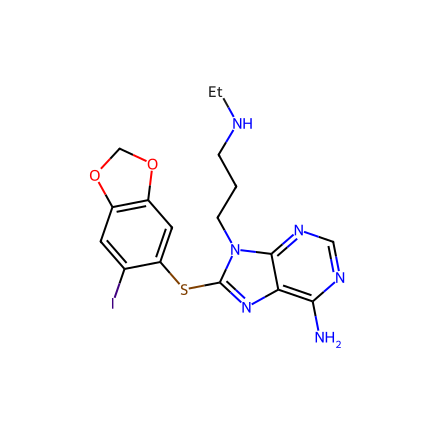 CCNCCCn1c(Sc2cc3c(cc2I)OCO3)nc2c(N)ncnc21